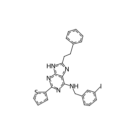 Ic1cccc(CNc2nc(-c3cccs3)nc3[nH]c(CCc4ccccc4)nc23)c1